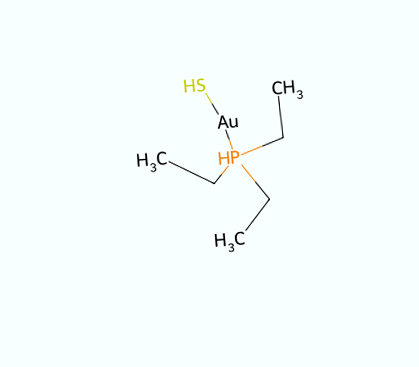 CC[PH](CC)(CC)[Au][SH]